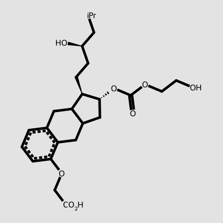 CC(C)C[C@H](O)CC[C@@H]1C2Cc3cccc(OCC(=O)O)c3CC2C[C@H]1OC(=O)OCCO